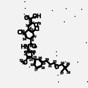 COC(=Cc1c(Cl)cc(C(=O)Nc2nc(-c3cccc(CCCOCC(C)(C)C)c3)c(OC)s2)cc1Cl)C(=O)O